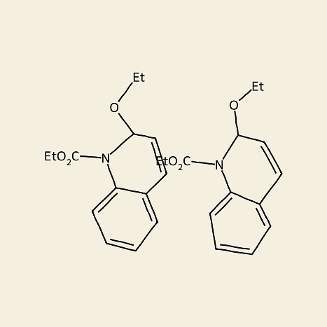 CCOC(=O)N1c2ccccc2C=CC1OCC.CCOC(=O)N1c2ccccc2C=CC1OCC